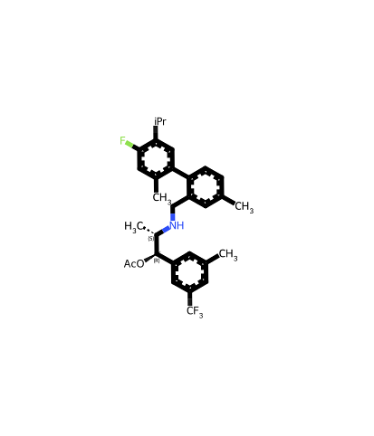 CC(=O)O[C@H](c1cc(C)cc(C(F)(F)F)c1)[C@H](C)NCc1cc(C)ccc1-c1cc(C(C)C)c(F)cc1C